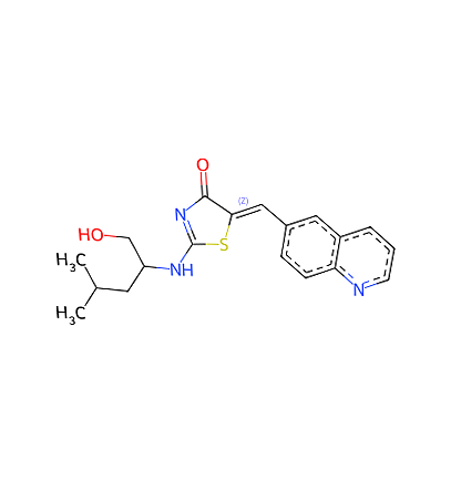 CC(C)CC(CO)NC1=NC(=O)/C(=C/c2ccc3ncccc3c2)S1